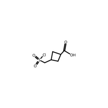 O=C(O)C1CC(CS(=O)(=O)Cl)C1